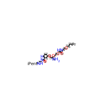 CCCC(C)NCCNC(=O)c1cccc(OCC(N)OCCOCC(=O)NCCOC/C=C/C(C)C)c1